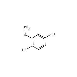 PSc1cc(S)ccc1S